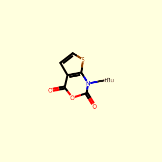 CC(C)(C)n1c(=O)oc(=O)c2ccsc21